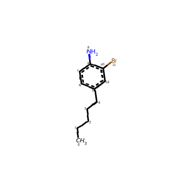 CCCCCc1ccc(N)c(Br)c1